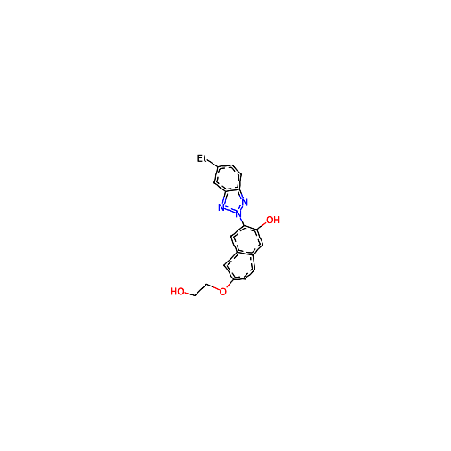 CCc1ccc2nn(-c3cc4cc(OCCO)ccc4cc3O)nc2c1